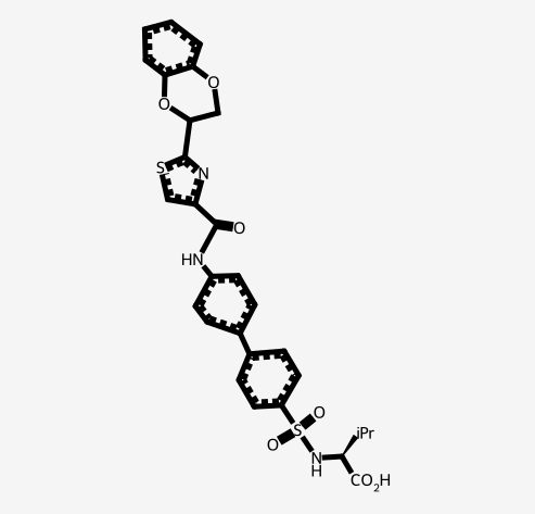 CC(C)[C@H](NS(=O)(=O)c1ccc(-c2ccc(NC(=O)c3csc(C4COc5ccccc5O4)n3)cc2)cc1)C(=O)O